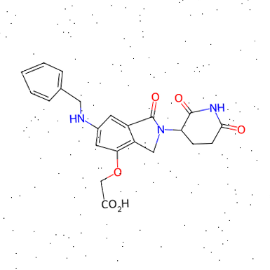 O=C(O)COc1cc(NCc2ccccc2)cc2c1CN(C1CCC(=O)NC1=O)C2=O